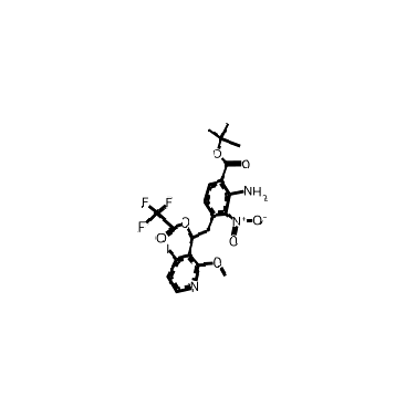 COc1nccc(I)c1C(Cc1ccc(C(=O)OC(C)(C)C)c(N)c1[N+](=O)[O-])OC(=O)C(F)(F)F